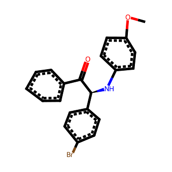 COc1ccc(N[C@H](C(=O)c2ccccc2)c2ccc(Br)cc2)cc1